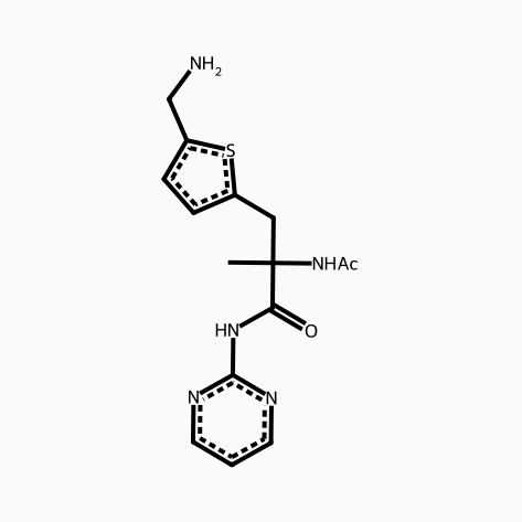 CC(=O)NC(C)(Cc1ccc(CN)s1)C(=O)Nc1ncccn1